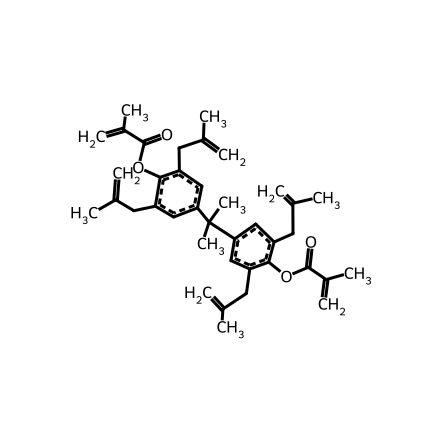 C=C(C)Cc1cc(C(C)(C)c2cc(CC(=C)C)c(OC(=O)C(=C)C)c(CC(=C)C)c2)cc(CC(=C)C)c1OC(=O)C(=C)C